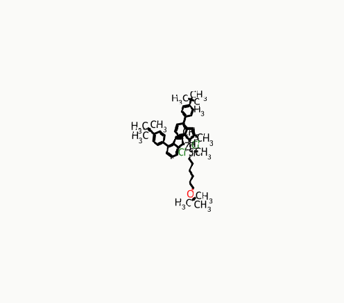 CC1=Cc2c(-c3ccc(C(C)(C)C)cc3)cccc2[CH]1[Zr]([Cl])([Cl])([CH]1C(C)=Cc2c(-c3ccc(C(C)(C)C)cc3)cccc21)[SiH](C)CCCCCCOC(C)(C)C